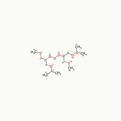 CSCC(COC(C)C)OCOC(COC(C)C)CSC